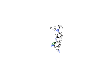 CCN(CC)c1ccc2cc(C=C(C#N)C#N)c(Cl)nc2c1